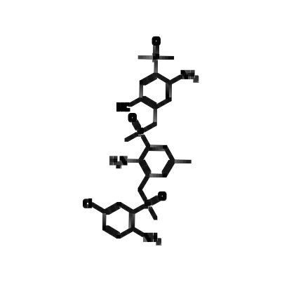 Cc1cc(CP(C)(=O)c2cc(Cl)ccc2N)c(N)c(P(C)(=O)Cc2cc(N)c(P(C)(C)=O)cc2C#N)c1